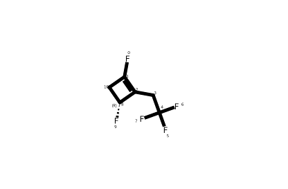 FC1=C(CC(F)(F)F)[C@H](F)C1